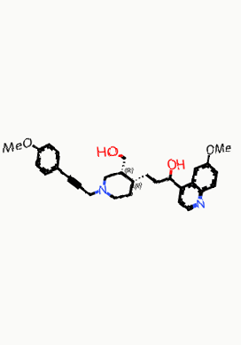 COc1ccc(C#CCN2CC[C@@H](CCC(O)c3ccnc4ccc(OC)cc34)[C@@H](CO)C2)cc1